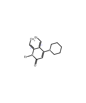 C/C=c1\c(=C/CC)c(N2CCCCC2)cc(=O)n1CC